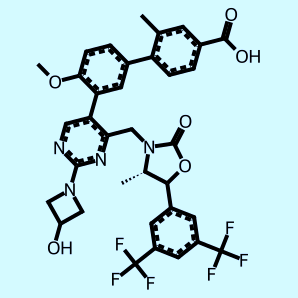 COc1ccc(-c2ccc(C(=O)O)cc2C)cc1-c1cnc(N2CC(O)C2)nc1CN1C(=O)OC(c2cc(C(F)(F)F)cc(C(F)(F)F)c2)[C@@H]1C